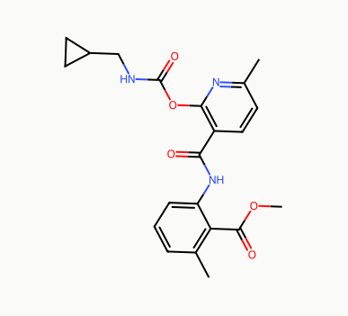 COC(=O)c1c(C)cccc1NC(=O)c1ccc(C)nc1OC(=O)NCC1CC1